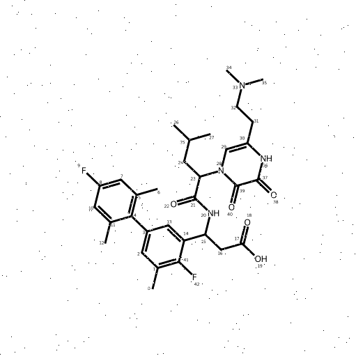 Cc1cc(-c2c(C)cc(F)cc2C)cc(C(CC(=O)O)NC(=O)C(CC(C)C)n2cc(CCN(C)C)[nH]c(=O)c2=O)c1F